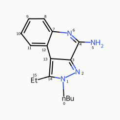 CCCCn1nc2c(N)nc3ccccc3c2c1CC